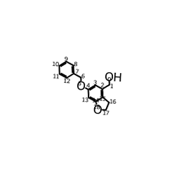 OCc1cc(OCc2ccccc2)cc2c1CCO2